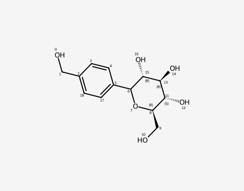 OCc1ccc(C2O[C@H](CO)[C@@H](O)[C@H](O)[C@H]2O)cc1